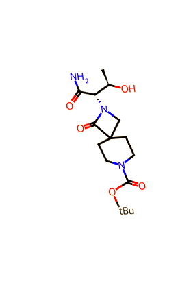 C[C@@H](O)[C@@H](C(N)=O)N1CC2(CCN(C(=O)OC(C)(C)C)CC2)C1=O